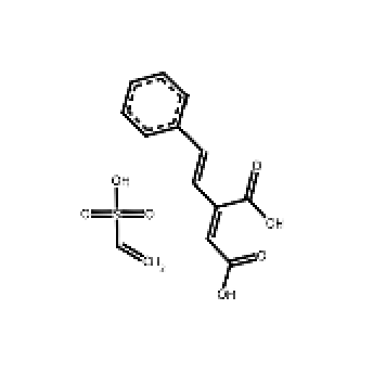 C=CS(=O)(=O)O.O=C(O)C=C(C=Cc1ccccc1)C(=O)O